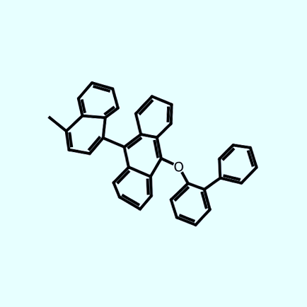 Cc1ccc(-c2c3ccccc3c(Oc3ccccc3-c3ccccc3)c3ccccc23)c2ccccc12